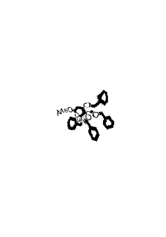 CO[C@H]1C[C@@H](OCc2ccccc2)[C@@](COCc2ccccc2)(OCc2ccccc2)[C@H](NCc2ccccc2)O1